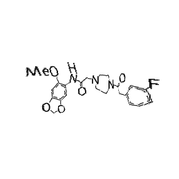 COc1cc2c(cc1NC(=O)CN1CCN(C(=O)Cc3cccc(F)c3)CC1)OCO2